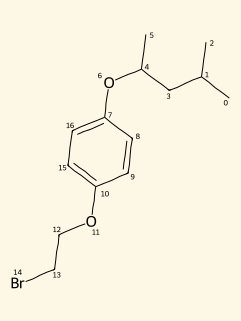 CC(C)CC(C)Oc1ccc(OCCBr)cc1